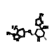 CC(C)n1ccc([C@@]2(O)C[C@@H](COc3cc(C(F)(F)F)c4c(c3)ncn4C(C)C)N[C@@H](C)C2)n1